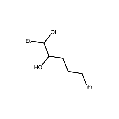 CCC(O)C(O)CCCC(C)C